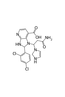 NC(=O)CC(N1C=CNC1)N1c2c(C(=O)O)ccnc2NC1c1ccc(Cl)cc1Cl